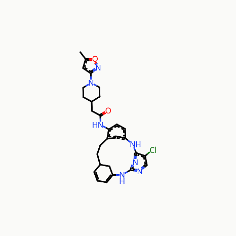 Cc1cc(N2CCC(CC(=O)Nc3ccc4cc3CCC3C=CC=C(C3)Nc3ncc(Cl)c(n3)N4)CC2)no1